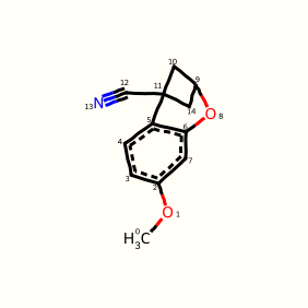 COc1ccc2c(c1)OC1CC2(C#N)C1